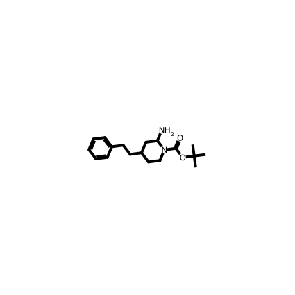 CC(C)(C)OC(=O)N1CCC(CCc2ccccc2)CC1N